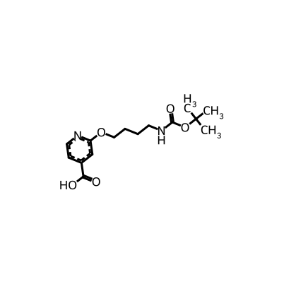 CC(C)(C)OC(=O)NCCCCOc1cc(C(=O)O)ccn1